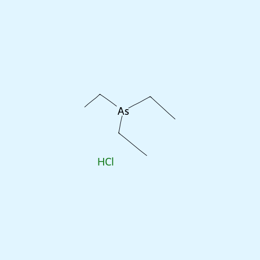 CC[As](CC)CC.Cl